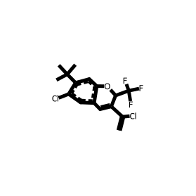 C=C(Cl)C1=Cc2cc(Cl)c(C(C)(C)C)cc2OC1C(F)(F)F